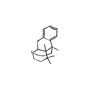 CC1(C)CCN2CCC3(C)c4ccccc4CC2C13C